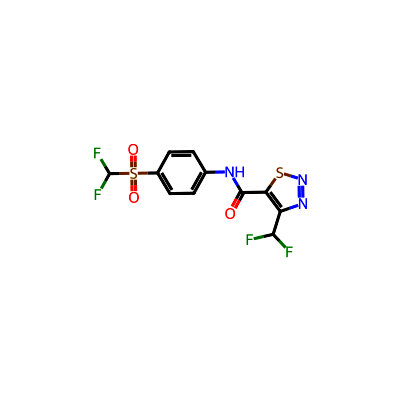 O=C(Nc1ccc(S(=O)(=O)C(F)F)cc1)c1snnc1C(F)F